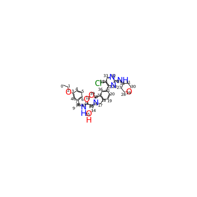 CCOc1cccc([C@@H](C)NC(=O)[C@@H](CO)N2Cc3ccc(-c4nc(NC5CCOCC5)ncc4Cl)cc3C2=O)c1